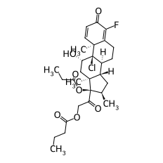 CCCC(=O)OCC(=O)[C@@]1(OC(=O)CC)[C@H](C)C[C@H]2[C@@H]3CCC4=C(F)C(=O)C=C[C@]4(C)[C@@]3(Cl)[C@@H](O)C[C@@]21C